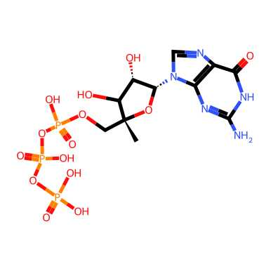 C[C@]1(COP(=O)(O)OP(=O)(O)OP(=O)(O)O)O[C@@H](n2cnc3c(=O)[nH]c(N)nc32)[C@@H](O)C1O